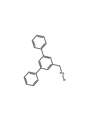 [Br][Mg][CH2]c1cc(-c2ccccc2)cc(-c2ccccc2)c1